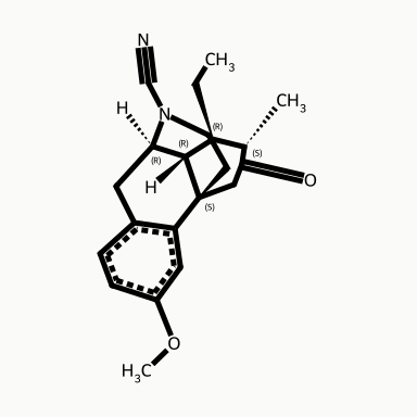 CC[C@@H]1[C@H]2[C@H]3Cc4ccc(OC)cc4[C@@]2(CCN3C#N)CC(=O)[C@H]1C